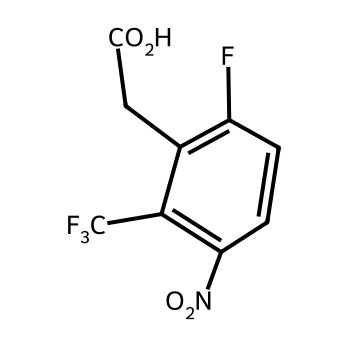 O=C(O)Cc1c(F)ccc([N+](=O)[O-])c1C(F)(F)F